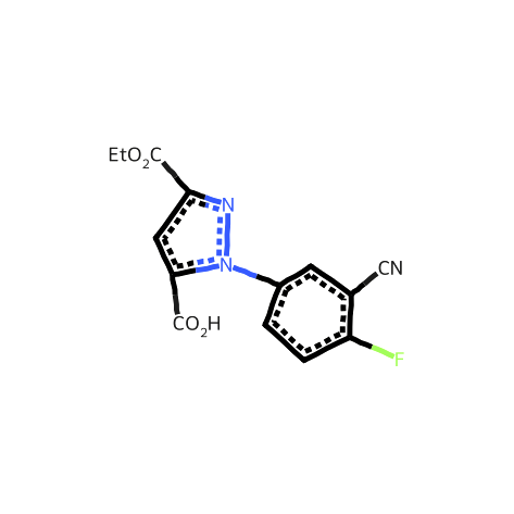 CCOC(=O)c1cc(C(=O)O)n(-c2ccc(F)c(C#N)c2)n1